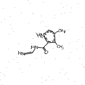 Cc1c(O)c[nH]c1C(=O)NC=N